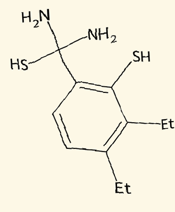 CCc1ccc(C(N)(N)S)c(S)c1CC